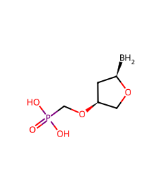 B[C@@H]1C[C@H](OCP(=O)(O)O)CO1